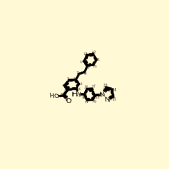 O=C(O)c1ccc(CCc2ccccc2)cc1Nc1ccc(-n2cccn2)cc1